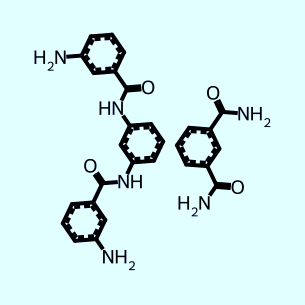 NC(=O)c1cccc(C(N)=O)c1.Nc1cccc(C(=O)Nc2cccc(NC(=O)c3cccc(N)c3)c2)c1